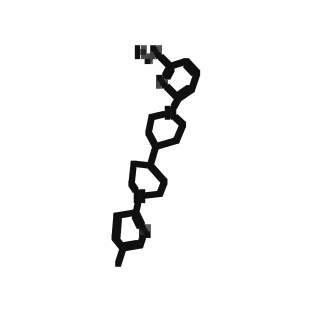 Cc1ccc(N2CCC(C3CCN(c4cccc(N)n4)CC3)CC2)nc1